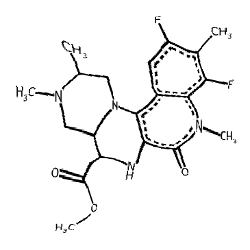 COC(=O)C1Nc2c(c3cc(F)c(C)c(F)c3n(C)c2=O)N2CC(C)N(C)CC12